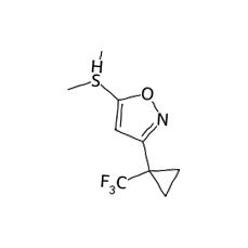 C[SH](C)c1cc(C2(C(F)(F)F)CC2)no1